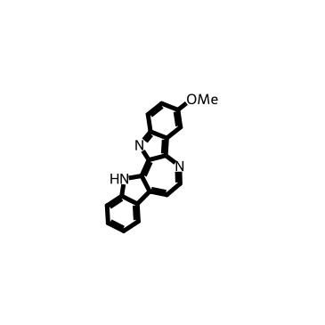 COc1ccc2nc3c4[nH]c5ccccc5c4ccnc-3c2c1